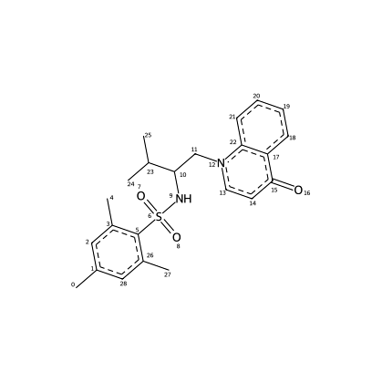 Cc1cc(C)c(S(=O)(=O)NC(Cn2ccc(=O)c3ccccc32)C(C)C)c(C)c1